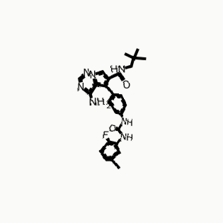 Cc1ccc(F)c(NC(=O)Nc2ccc(-c3c(C(=O)NCC(C)(C)C)cn4ncnc(N)c34)cc2)c1